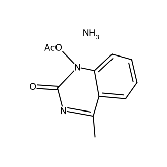 CC(=O)On1c(=O)nc(C)c2ccccc21.N